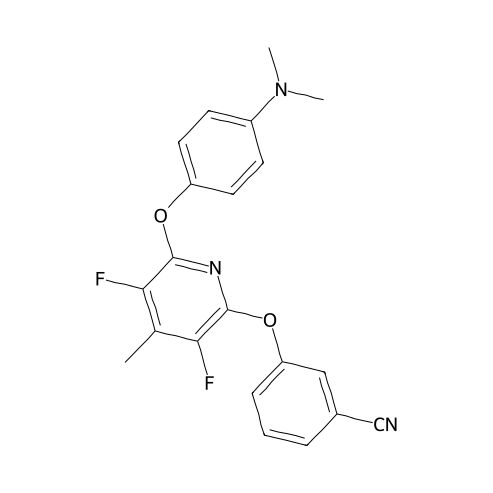 Cc1c(F)c(Oc2ccc(N(C)C)cc2)nc(Oc2cccc(C#N)c2)c1F